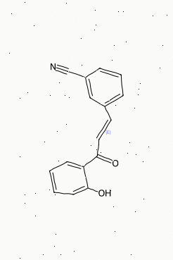 N#Cc1cccc(/C=C/C(=O)c2ccccc2O)c1